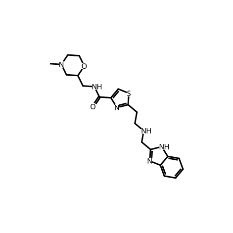 CN1CCOC(CNC(=O)c2csc(CCNCc3nc4ccccc4[nH]3)n2)C1